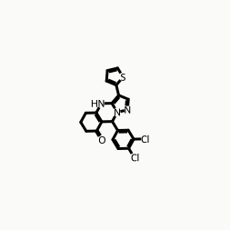 O=C1CCCC2=C1C(c1ccc(Cl)c(Cl)c1)n1ncc(-c3cccs3)c1N2